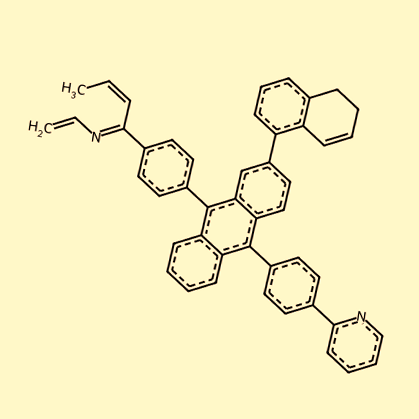 C=C/N=C(\C=C/C)c1ccc(-c2c3ccccc3c(-c3ccc(-c4ccccn4)cc3)c3ccc(-c4cccc5c4C=CCC5)cc23)cc1